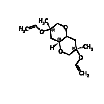 C=CO[C@@]1(C)CO[C@H]2C[C@@](C)(OC=C)COC2C1